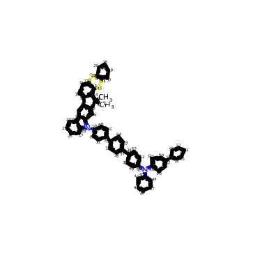 CC1(C)c2cc3c(cc2-c2ccc4c(c21)Sc1ccccc1S4)c1ccccc1n3-c1ccc(-c2ccc(-c3ccc(N(c4ccccc4)c4ccc(-c5ccccc5)cc4)cc3)cc2)cc1